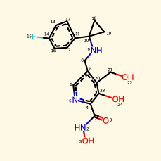 O=C(NO)c1ncc(CNC2(c3ccc(F)cc3)CC2)c(CO)c1O